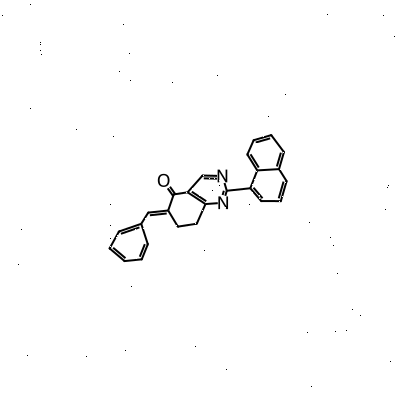 O=C1/C(=C/c2ccccc2)CCc2nc(-c3cccc4ccccc34)ncc21